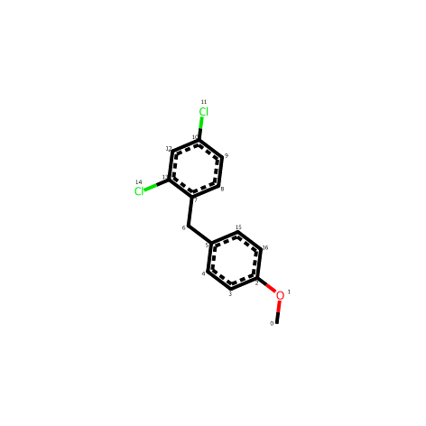 COc1ccc(Cc2ccc(Cl)[c]c2Cl)cc1